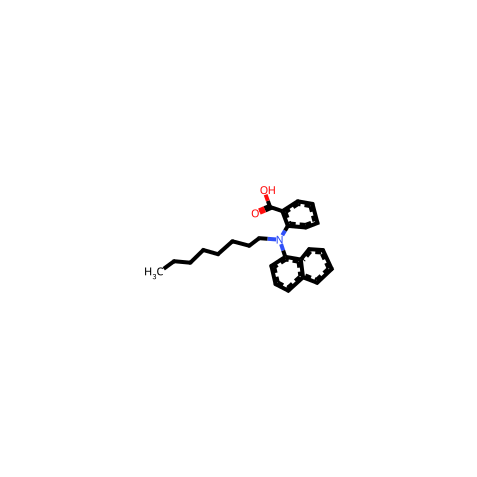 CCCCCCCCN(c1ccccc1C(=O)O)c1cccc2ccccc12